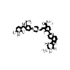 C[C@@H]1CNc2c(sc3ccc4nc(-c5ccc(C(N)=O)c(CCN6CCN(c7ccc8c(C9CCC(=O)NC9=O)nn(C)c8c7)CC6)c5F)ccc4c23)C(=O)N1